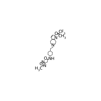 Cc1nc(CC(=O)NC2CCC(CCN3CCc4ccc(O[C@H](C)C(F)(F)F)nc4CC3)CC2)no1